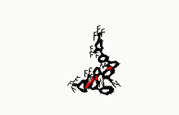 N#Cc1ccc(-n2c3ccccc3c3cc(-c4ccc(C(F)(F)F)cc4C(F)(F)F)ccc32)c(-c2cccc(C#N)c2-n2c3ccccc3c3cc(-c4ccc(C(F)(F)F)cc4C(F)(F)F)ccc32)c1